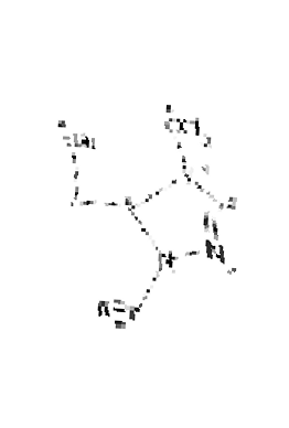 CCCN1N=CN(C(Cl)(Cl)Cl)C1CC(C)(C)C